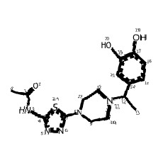 CC(=O)Nc1nnc(N2CCN(C(C)c3ccc(O)c(O)c3)CC2)s1